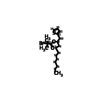 CCCCCCCCCC(Cc1cccs1)OC(=O)C(C)(C)Br